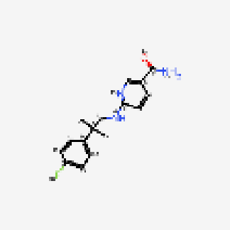 CC(C)(CNc1ccc(C(N)=O)cn1)c1ccc(F)cc1